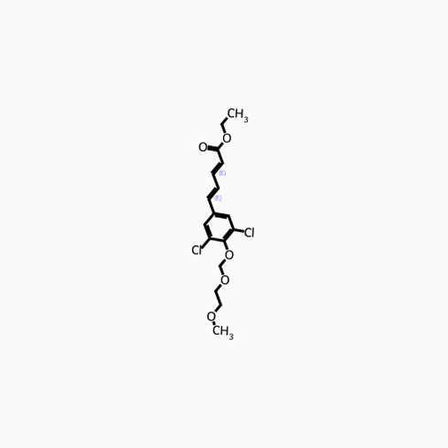 CCOC(=O)/C=C/C=C/c1cc(Cl)c(OCOCCOC)c(Cl)c1